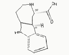 O=C(O)[C@H]1NCCC2Nc3ccccc3[C@@H]21